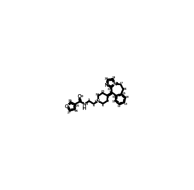 O=C(NCCN1CCC(=C2c3ccccc3CCn3ccnc32)CC1)c1ccoc1